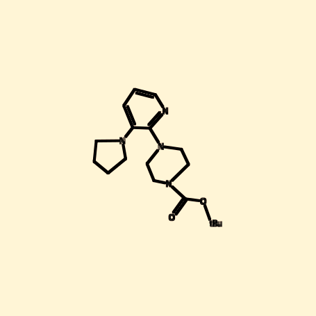 CC(C)(C)OC(=O)N1CCN(c2ncccc2N2CCCC2)CC1